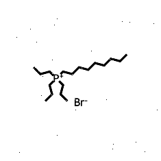 CCCCCCCCC[P+](CCC)(CCC)CCC.[Br-]